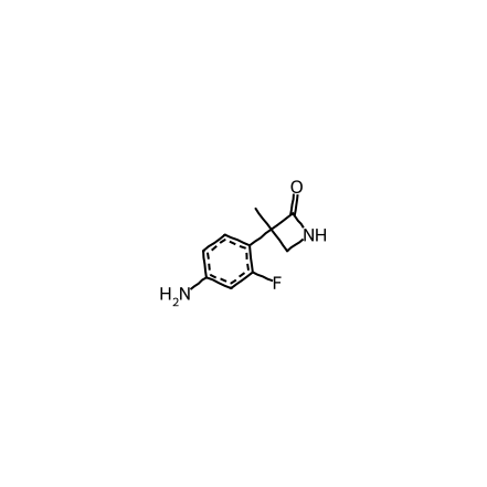 CC1(c2ccc(N)cc2F)CNC1=O